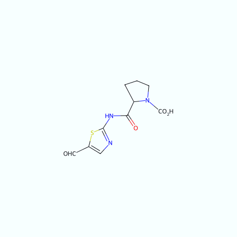 O=Cc1cnc(NC(=O)C2CCCN2C(=O)O)s1